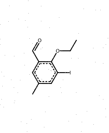 CCOc1c(I)cc(C)cc1C=O